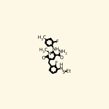 CCSNc1cccc(Cc2cc(C(N)=O)c(Nc3ccc(C)cc3F)n(C)c2=O)c1F